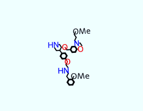 COCCCN1CCOc2ccc(COC3CNCCC3c3ccc(OCCNCCc4ccccc4OC)cc3)cc21